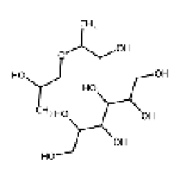 CC(O)COC(C)CO.OCC(O)C(O)C(O)C(O)CO